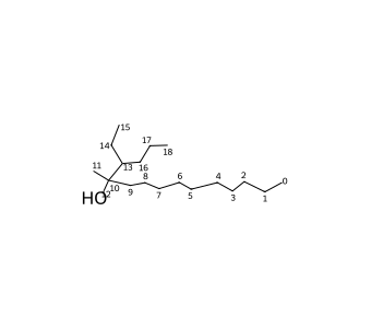 CCCCCCCCCCC(C)(O)C(CC)CCC